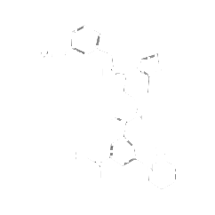 CCNc1cc(C(=O)N[C@@H](Cc2nccs2)[C@H](O)CNCc2cccc(OC)c2)cc(N2CCCCS2(=O)=O)c1